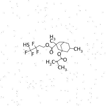 C=C(C)C(=O)OC12CC(C)CC(C1)CC(C)(C(=O)OCCC(F)(F)C(F)(F)S)C2